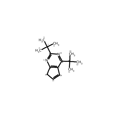 CC(C)(C)c1nc2c(c(C(C)(C)C)n1)C=CC2